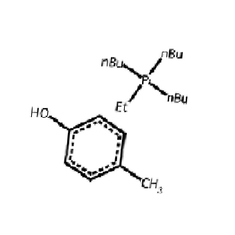 CCCC[P](CC)(CCCC)CCCC.Cc1ccc(O)cc1